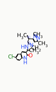 C=N/C(=C\C(=C/C)c1cc(C)nn1C)N[C@@H](C)c1cc2cc(Cl)ccc2[nH]c1=O